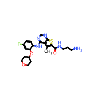 Cc1c(C(=O)NCCCN)sc2ncnc(NC3C=CC(F)=CC3OC3CCOCC3)c12